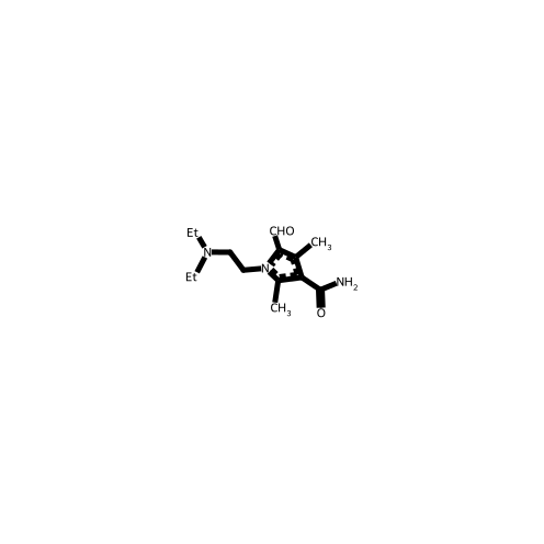 CCN(CC)CCn1c(C)c(C(N)=O)c(C)c1C=O